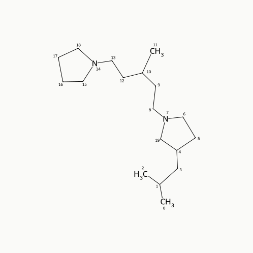 CC(C)CC1CCN(CCC(C)CCN2CCCC2)C1